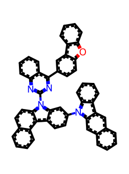 c1ccc2cc3c(cc2c1)c1ccccc1n3-c1ccc2c3c4ccccc4ccc3n(-c3nc(-c4ccc5oc6ccccc6c5c4)c4ccccc4n3)c2c1